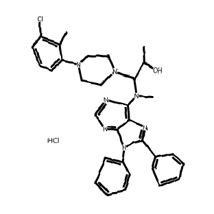 Cc1c(Cl)cccc1N1CCN(C(C(C)O)N(C)c2ncnc3c2nc(-c2ccccc2)n3-c2ccccc2)CC1.Cl